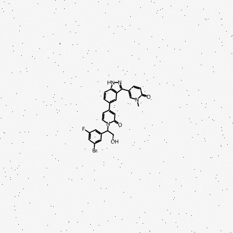 Cn1cc(-c2n[nH]c3ccc(-c4ccn(C(CO)c5cc(F)cc(Br)c5)c(=O)c4)cc23)ccc1=O